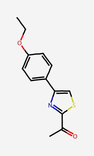 CCOc1ccc(-c2csc(C(C)=O)n2)cc1